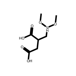 CO[SiH](CC(CC(=O)O)C(=O)O)OC